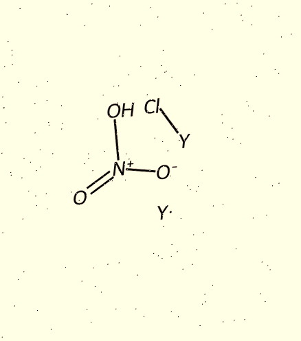 O=[N+]([O-])O.[Cl][Y].[Y]